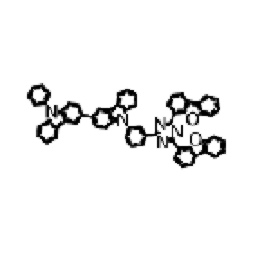 c1ccc(-n2c3ccccc3c3cc(-c4ccc5c(c4)c4ccccc4n5-c4cccc(-c5nc(-c6cccc7c6oc6ccccc67)nc(-c6cccc7c6oc6ccccc67)n5)c4)ccc32)cc1